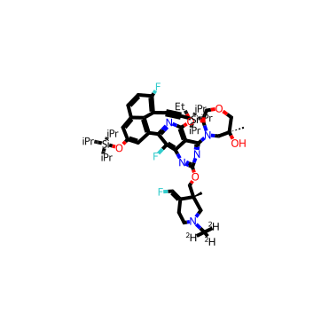 [2H]C([2H])([2H])N1CC/C(=C\F)[C@](C)(COc2nc(N3CCOC[C@@](C)(O)C3)c3c(OCC)nc(-c4cc(O[Si](C(C)C)(C(C)C)C(C)C)cc5ccc(F)c(C#C[Si](C(C)C)(C(C)C)C(C)C)c45)c(F)c3n2)C1